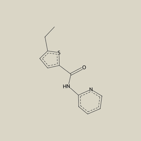 CCc1ccc(C(=O)Nc2ccccn2)s1